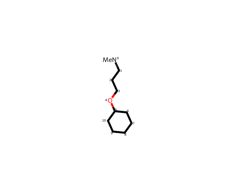 CNCCCOC1CCCCC1